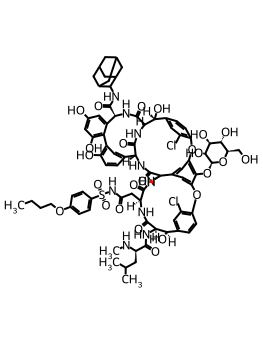 CCCCOc1ccc(S(=O)(=O)NC(=O)C[C@@H]2NC(=O)[C@H](NC(=O)[C@@H](CC(C)C)NC)[C@H](O)c3ccc(c(Cl)c3)Oc3cc4cc(c3O[C@@H]3O[C@H](CO)[C@@H](O)[C@H](O)[C@H]3O)Oc3ccc(cc3Cl)[C@@H](O)[C@@H]3NC(=O)[C@H](NC(=O)[C@@H]4NC2=O)c2ccc(O)c(c2)-c2c(O)cc(O)cc2[C@@H](C(=O)NC2C4CC5CC(C4)CC2C5)NC3=O)cc1